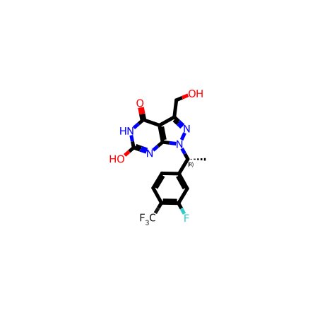 C[C@H](c1ccc(C(F)(F)F)c(F)c1)n1nc(CO)c2c(=O)[nH]c(O)nc21